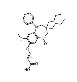 CCCCC1(CCCC)CN(c2ccccc2)c2cc(OC)c(O/C=C/C(=O)O)cc2[S+]([O-])C1